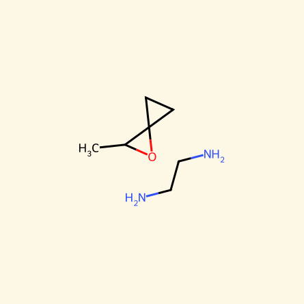 CC1OC12CC2.NCCN